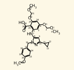 COCOc1cc(Nc2cc(C3CC3)nn2Cc2ccc(OC)cc2)c(C(=O)O)c(OCOC)c1